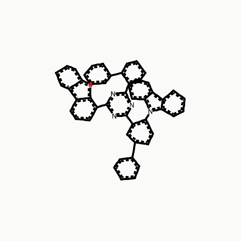 c1ccc(-c2ccc(-n3c4ccccc4c4ccccc43)c(-c3nc(-c4ccccc4-c4ccccc4)nc(-c4cccc5c4sc4ccccc45)n3)c2)cc1